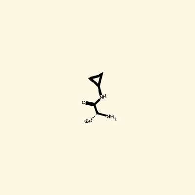 CC(C)(C)[C@@H](N)C(=O)NC1CC1